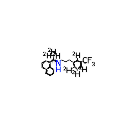 [2H]c1c([2H])c(CCCN[C@@H](c2cccc3ccccc23)C([2H])([2H])[2H])c([2H])c(C(F)(F)F)c1[2H]